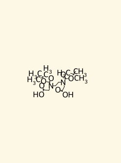 CC(C)(C)OC(=O)N(CCN(CC(=O)O)C(=O)OC(C)(C)C)CC(=O)O